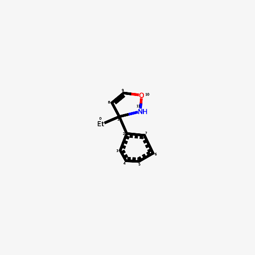 CCC1(c2ccccc2)[C]=CON1